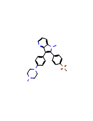 CC(C)N1CCN(c2ccc(-c3c(-c4ccc(S(C)(=O)=O)cc4)n(C)c4cccnc34)cc2)CC1